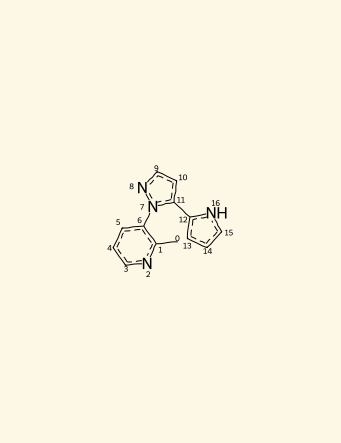 Cc1ncccc1-n1nccc1-c1ccc[nH]1